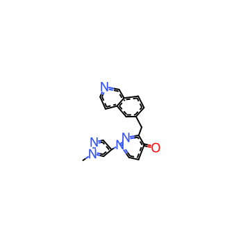 Cn1cc(-n2ccc(=O)c(Cc3ccc4cnccc4c3)n2)cn1